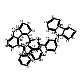 c1ccc(-c2nc(-c3cccc(-n4c5ccccc5c5ccccc54)c3)nc(-c3cccc4oc5cccc(-c6nc7ccccc7o6)c5c34)n2)cc1